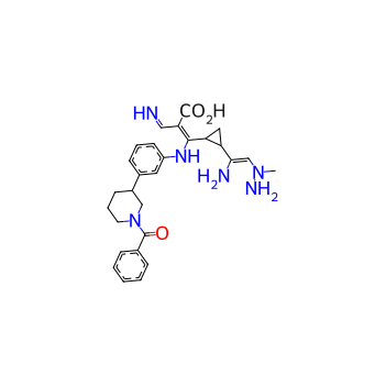 CN(N)/C=C(\N)C1CC1/C(Nc1cccc(C2CCCN(C(=O)c3ccccc3)C2)c1)=C(/C=N)C(=O)O